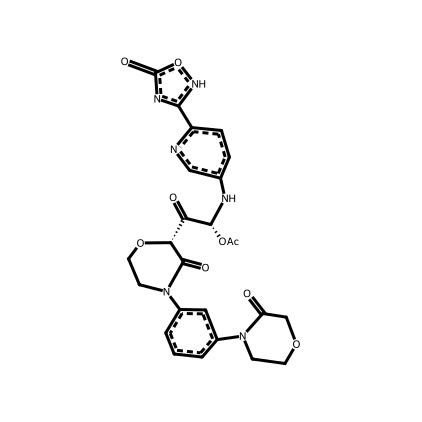 CC(=O)O[C@@H](Nc1ccc(-c2nc(=O)o[nH]2)nc1)C(=O)[C@H]1OCCN(c2cccc(N3CCOCC3=O)c2)C1=O